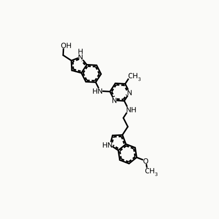 COc1ccc2[nH]cc(CCNc3nc(C)cc(Nc4ccc5[nH]c(CO)cc5c4)n3)c2c1